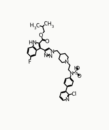 CC(C)COC(=O)c1[nH]c2ccc(F)cc2c1-c1cn(CC2CCN(CCN(c3ccc(-c4cccnc4Cl)cc3)[SH](=O)=O)CC2)nn1